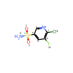 NS(=O)(=O)c1cnc(Cl)c(F)c1